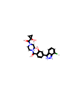 O=C(c1ccc(-c2[nH]nc3c(F)cccc23)cc1O)N1CCN(C(=O)C2(O)CC2)CC1